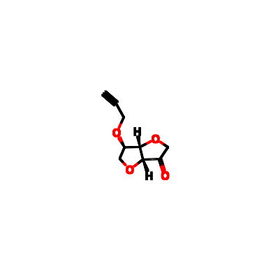 C#CCO[C@@H]1CO[C@H]2C(=O)CO[C@@H]12